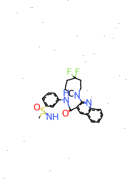 CS(=N)(=O)c1cccc(NC(=O)c2cc3ccccc3nc2N2CCCC(F)(F)CC2)c1